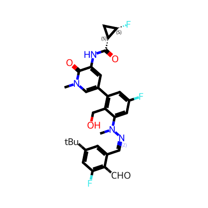 CN(/N=C\c1cc(C(C)(C)C)cc(F)c1C=O)c1cc(F)cc(-c2cc(NC(=O)[C@@H]3C[C@@H]3F)c(=O)n(C)c2)c1CO